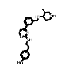 C[C@H]1CNCC[C@H]1NCc1cccc(-c2ccnc(NCCc3ccc(O)cc3)n2)c1